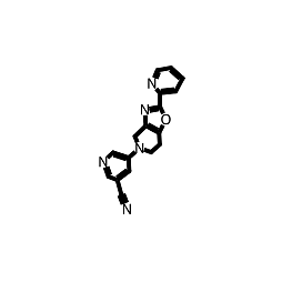 N#Cc1cncc(N2CCc3oc(-c4ccccn4)nc3C2)c1